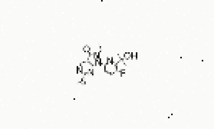 CCn1c(=O)c2cnc(SC)nc2n1-c1ccc(F)c(C(C)(C)O)n1